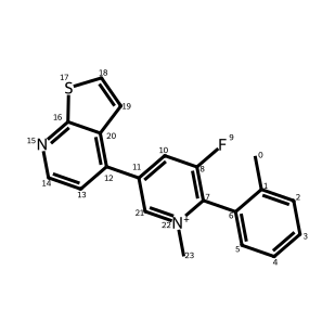 Cc1ccccc1-c1c(F)cc(-c2ccnc3sccc23)c[n+]1C